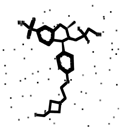 C[C@H]1Cc2cc(S(N)(=O)=O)ccc2[C@H](c2ccc(OCCN3CC(CF)C3)cc2)N1CC(F)(F)CO